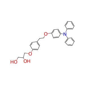 OCC(O)COc1ccc(CCOc2ccc(N(c3ccccc3)c3ccccc3)cc2)cc1